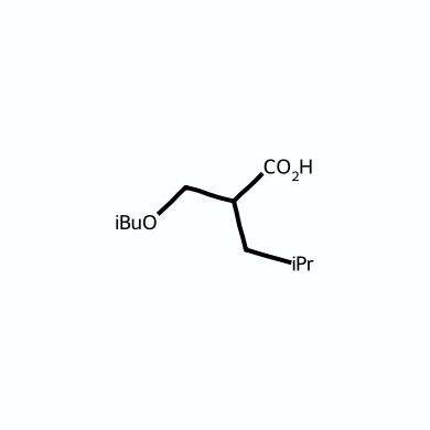 CC(C)COCC(CC(C)C)C(=O)O